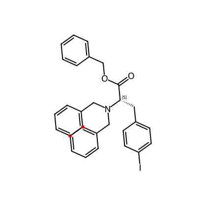 O=C(OCc1ccccc1)[C@H](Cc1ccc(I)cc1)N(Cc1ccccc1)Cc1ccccc1